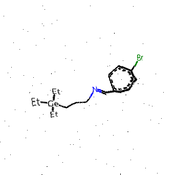 C[CH2][Ge]([CH2]C)([CH2]C)[CH2]CCN=Cc1ccc(Br)cc1